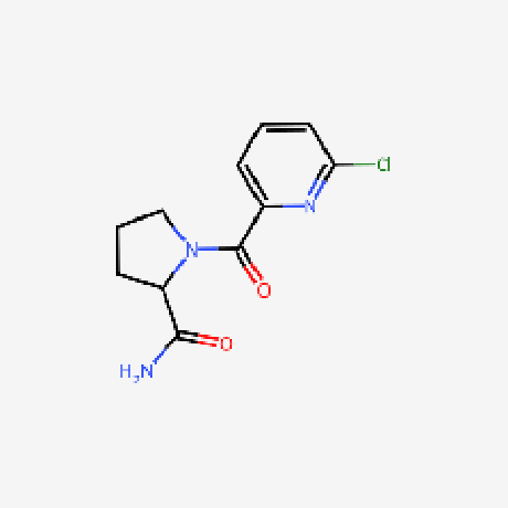 NC(=O)C1CCCN1C(=O)c1cccc(Cl)n1